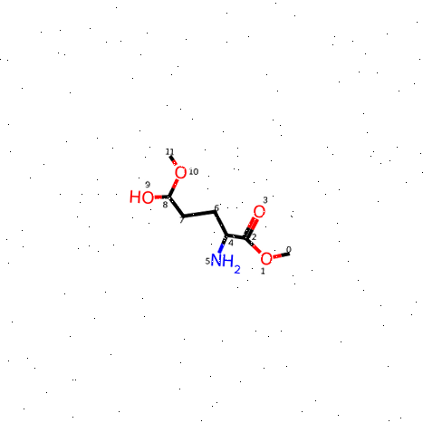 COC(=O)C(N)CCC(O)OC